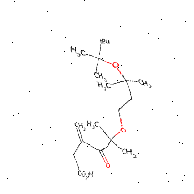 C=C(CC(=O)O)C(=O)C(C)(C)OCCC(C)(C)OC(C)(C)C(C)(C)C